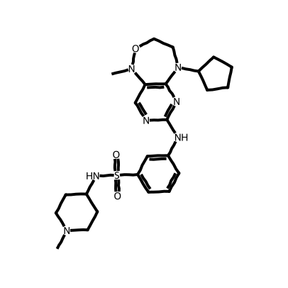 CN1CCC(NS(=O)(=O)c2cccc(Nc3ncc4c(n3)N(C3CCCC3)CCON4C)c2)CC1